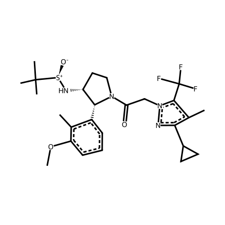 COc1cccc([C@@H]2[C@H](N[S@+]([O-])C(C)(C)C)CCN2C(=O)Cn2nc(C3CC3)c(C)c2C(F)(F)F)c1C